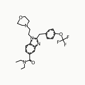 CCN(CC)C(=O)c1ccc2c(c1)nc(Cc1ccc(OC(F)(F)F)cc1)n2CCN1CCOCC1